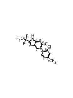 FC(F)(F)c1ccc(-c2cc3cc(C(F)(F)C(F)(F)F)[nH]c3cc2Cl)c(Cl)c1